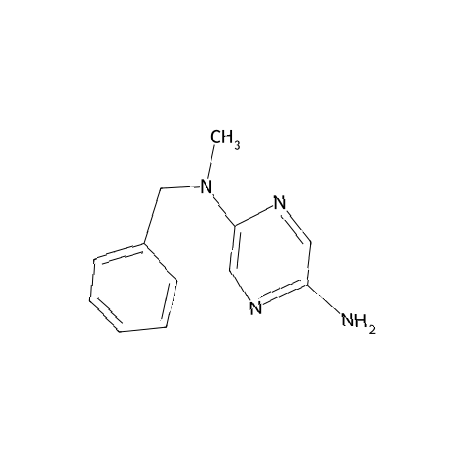 CN(Cc1ccccc1)c1cnc(N)cn1